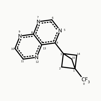 FC(F)(F)C12CC(c3ncnc4nccnc34)(C1)C2